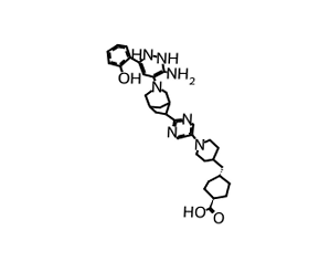 NC1=C(N2CC3CC(C2)C(c2ncc(N4CCC(C[C@H]5CC[C@H](C(=O)O)CC5)CC4)cn2)C3)C=C(c2ccccc2O)NN1